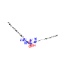 CCCCCCCCCCCCCCCCCCCCCCNCCCNC(=O)C[C@H](NCCCNCCCCCCCCCCCCCCCCCCCCCC)C(=O)O